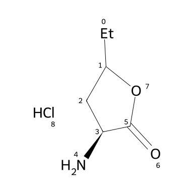 CCC1C[C@H](N)C(=O)O1.Cl